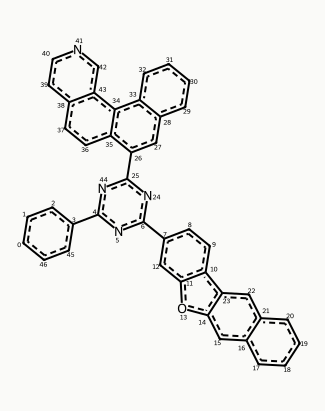 c1ccc(-c2nc(-c3ccc4c(c3)oc3cc5ccccc5cc34)nc(-c3cc4ccccc4c4c3ccc3ccncc34)n2)cc1